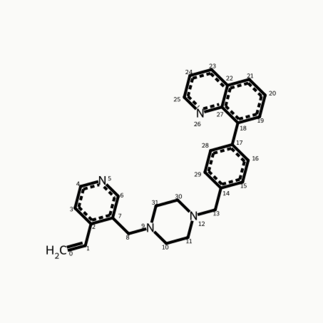 C=Cc1ccncc1CN1CCN(Cc2ccc(-c3cccc4cccnc34)cc2)CC1